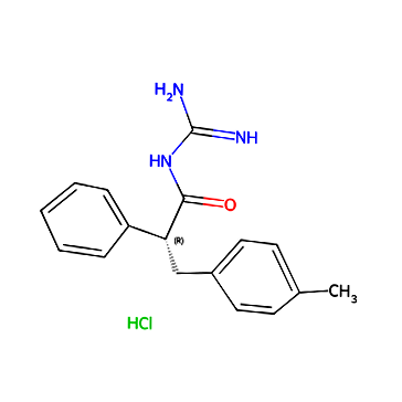 Cc1ccc(C[C@@H](C(=O)NC(=N)N)c2ccccc2)cc1.Cl